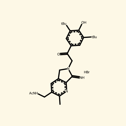 Br.CC(=O)NCc1cc2c(nc1C)C(=N)N(CC(=O)c1cc(C(C)(C)C)c(O)c(C(C)(C)C)c1)C2